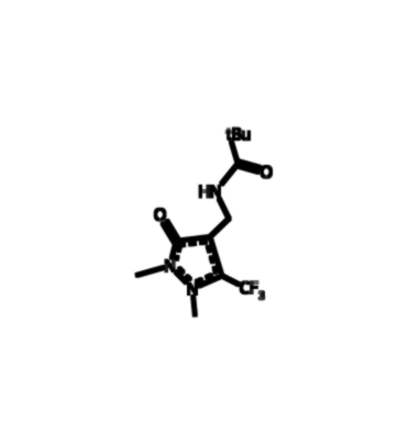 Cn1c(C(F)(F)F)c(CNC(=O)C(C)(C)C)c(=O)n1C